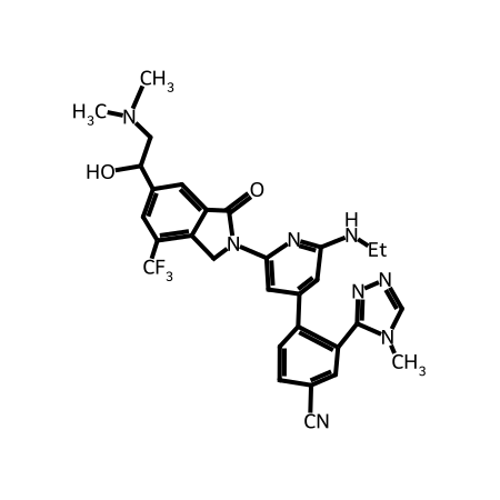 CCNc1cc(-c2ccc(C#N)cc2-c2nncn2C)cc(N2Cc3c(cc(C(O)CN(C)C)cc3C(F)(F)F)C2=O)n1